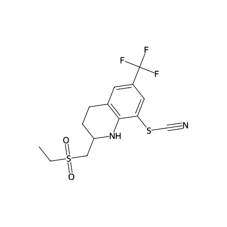 CCS(=O)(=O)CC1CCc2cc(C(F)(F)F)cc(SC#N)c2N1